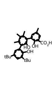 Cc1cc(C(=O)O)c(O)c(-c2c(C)c(C)c(C)c(-c3cc(C(C)(C)C)cc(C(C)(C)C)c3O)c2O)c1